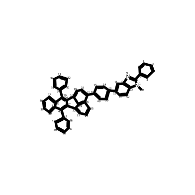 Cn1c(-c2ccccc2)nc2cc(-c3ccc(-c4ccc5c6c(cccc46)-c4c-5c(-c5ccccc5)c5ccccc5c4-c4ccccc4)cc3)ccc21